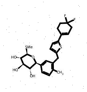 CS[C@H]1O[C@@H](c2ccc(C)c(Cc3ccc(C4=CCC(F)(F)CC4)s3)c2)[C@H](O)[C@@H](O)[C@@H]1O